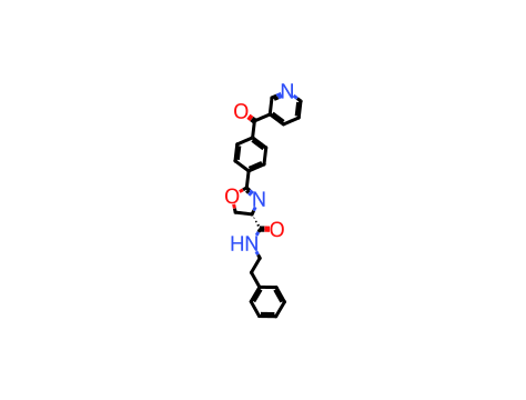 O=C(c1ccc(C2=N[C@H](C(=O)NCCc3ccccc3)CO2)cc1)c1cccnc1